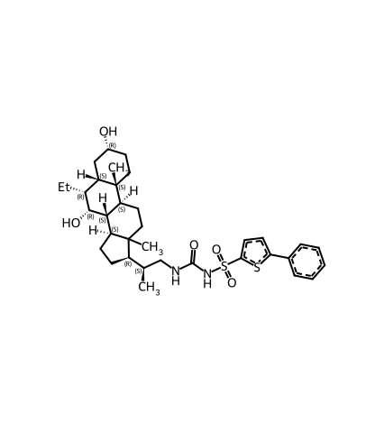 CC[C@H]1[C@@H](O)[C@H]2[C@@H]3CC[C@H]([C@H](C)CNC(=O)NS(=O)(=O)c4ccc(-c5ccccc5)s4)C3(C)CC[C@@H]2[C@@]2(C)CC[C@@H](O)C[C@@H]12